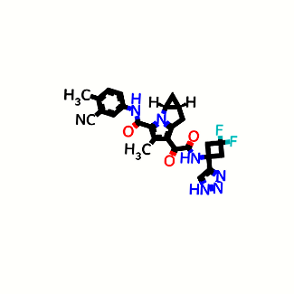 Cc1ccc(NC(=O)c2c(C)c(C(=O)C(=O)NC3(c4c[nH]nn4)CC(F)(F)C3)c3n2[C@@H]2C[C@@H]2C3)cc1C#N